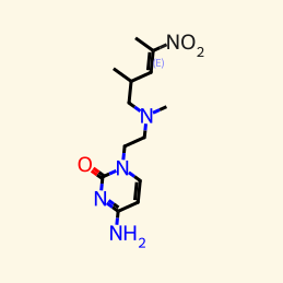 C/C(=C\C(C)CN(C)CCn1ccc(N)nc1=O)[N+](=O)[O-]